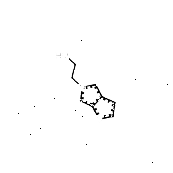 OCCn1cc2ccsc2c1